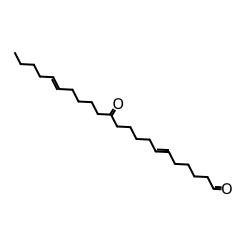 CCCC/C=C/CCCCC(=O)CCCC/C=C/CCCCC=O